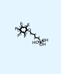 O[Si](O)(O)CCCCOc1c(F)c(F)c(F)c(F)c1F